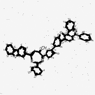 C=C1C=C(c2ccc3c(c2)sc2ccccc23)N=C(c2ccccc2)N=C1c1cccc(-c2ccc3oc4c(ccc5c(-c6ccccc6)nc6ccccc6c54)c3c2)c1